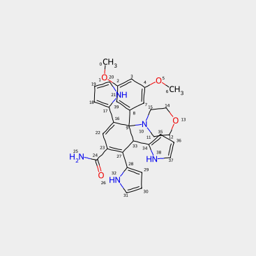 COc1cc(OC)cc(C2(N3CCOCC3)C(c3ccc[nH]3)=CC(C(N)=O)=C(c3ccc[nH]3)C2c2ccc[nH]2)c1